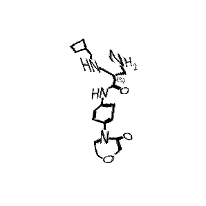 NC[C@H](NCC1CCC1)C(=O)Nc1ccc(N2CCOCC2=O)cc1